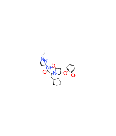 CCCn1ccc(NC(=O)C(CC2CCCCC2)N2CC(Oc3ccccc3OC)=CC2=O)n1